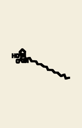 CCCCCCCCCCCCCCCC(=O)N1CCCC1(O)C(=O)O